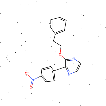 O=[N+]([O-])c1ccc(-c2nccnc2OCCc2ccccc2)cc1